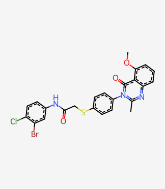 COc1cccc2nc(C)n(-c3ccc(SCC(=O)Nc4ccc(Cl)c(Br)c4)cc3)c(=O)c12